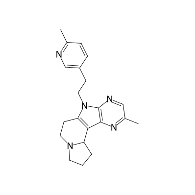 Cc1ccc(CCn2c3c(c4nc(C)cnc42)C2CCCN2CC3)cn1